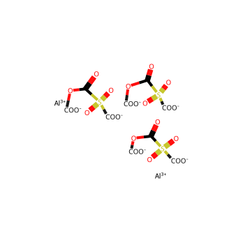 O=C([O-])OC(=O)S(=O)(=O)C(=O)[O-].O=C([O-])OC(=O)S(=O)(=O)C(=O)[O-].O=C([O-])OC(=O)S(=O)(=O)C(=O)[O-].[Al+3].[Al+3]